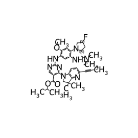 CC#Cc1ccc2c(n1)C(C)(C)CN2c1nc(Nc2cc(N)c(N3C[C@@H](F)C[C@@H]3CN(C)C)cc2OC)ncc1C(=O)OC(C)C